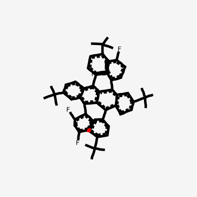 CC(C)(C)c1ccc(-c2c3ccc(C(C)(C)C)cc3c(-c3ccc(F)cc3F)c3c(-c4ccc(C(C)(C)C)cc4)c4ccc(C(C)(C)C)cc4c(-c4ccc(F)cc4F)c23)cc1